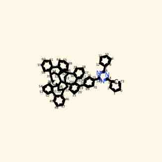 c1ccc(-c2nc(-c3ccccc3)nc(-c3ccc(-c4cccc5c4-c4ccccc4C4CC67CC(CCC89CC(CC5(C4)C86)c4ccccc4-c4ccccc49)c4ccccc4-c4ccccc47)cc3)n2)cc1